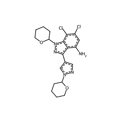 Nc1cc(Cl)c(Cl)c2c1c(-c1cnn(C3CCCCO3)c1)nn2C1CCCCO1